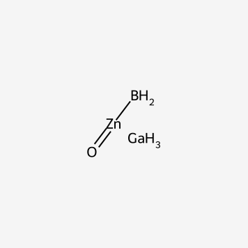 [BH2][Zn]=[O].[GaH3]